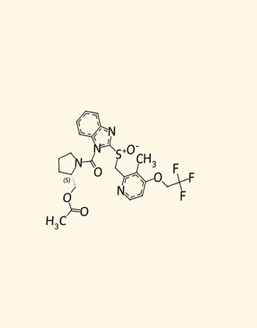 CC(=O)OC[C@@H]1CCCN1C(=O)n1c([S+]([O-])Cc2nccc(OCC(F)(F)F)c2C)nc2ccccc21